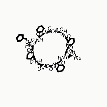 CN1CC(=O)N(C)[C@@H](C2CCCCC2)C(=O)NC[C@@H](NC(=O)OC(C)(C)C)C(=O)N2CCCC[C@H]2C(=O)NCC(=O)N(C)CC(=O)N(C)[C@@H](C2CCCCC2)C(=O)NC[C@@H](NC(=O)OCc2ccccc2)C(=O)N2CCCC[C@H]2C(=O)NCC1=O